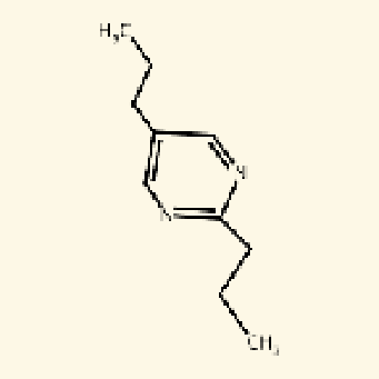 CCCc1cnc(CCC)nc1